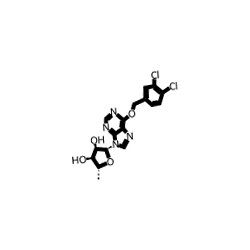 C[C@H]1O[C@@H](n2cnc3c(OCc4ccc(Cl)c(Cl)c4)ncnc32)[C@H](O)[C@@H]1O